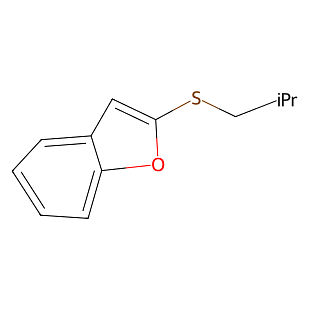 CC(C)CSc1cc2ccccc2o1